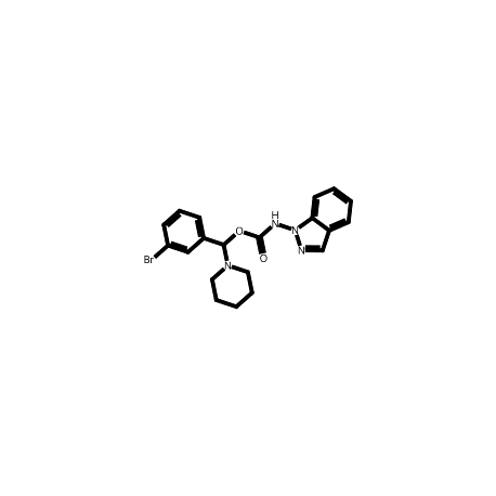 O=C(Nn1ncc2ccccc21)OC(c1cccc(Br)c1)N1CCCCC1